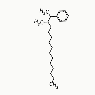 CCC[CH]CCCCCCCCC(C)C(C)c1ccccc1